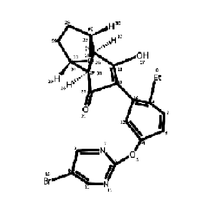 CCc1ccc(Oc2ncc(Br)cn2)cc1C1=C(O)[C@H]2[C@@H](C1=O)[C@@H]1CC[C@H]2O1